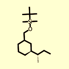 CC[C@H](C)[C@H]1CCCC(CO[Si](C)(C)C(C)(C)C)C1